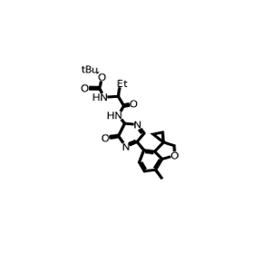 CCC(NC(=O)OC(C)(C)C)C(=O)NC1N=CC(c2ccc(C)c3c2C2(CC2)CO3)=NC1=O